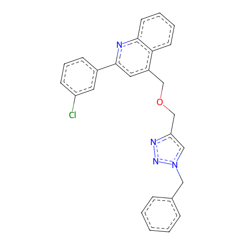 Clc1cccc(-c2cc(COCc3cn(Cc4ccccc4)nn3)c3ccccc3n2)c1